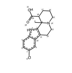 CC12c3[nH]c4ccc(Cl)cc4c3CCN1CCCC2C(=O)O